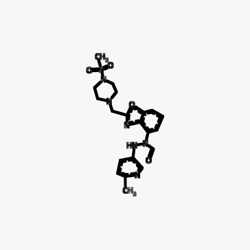 Cc1ccc(NN(C=O)c2cccc3oc(CN4CCN(S(C)(=O)=O)CC4)nc23)cn1